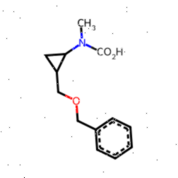 CN(C(=O)O)C1CC1COCc1ccccc1